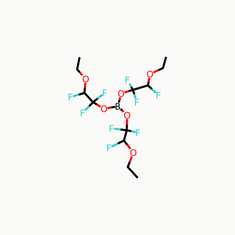 CCOC(F)C(F)(F)OB(OC(F)(F)C(F)OCC)OC(F)(F)C(F)OCC